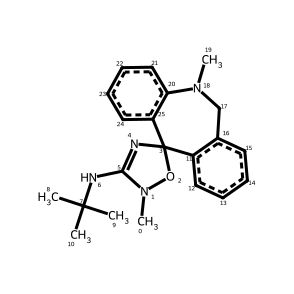 CN1OC2(N=C1NC(C)(C)C)c1ccccc1CN(C)c1ccccc12